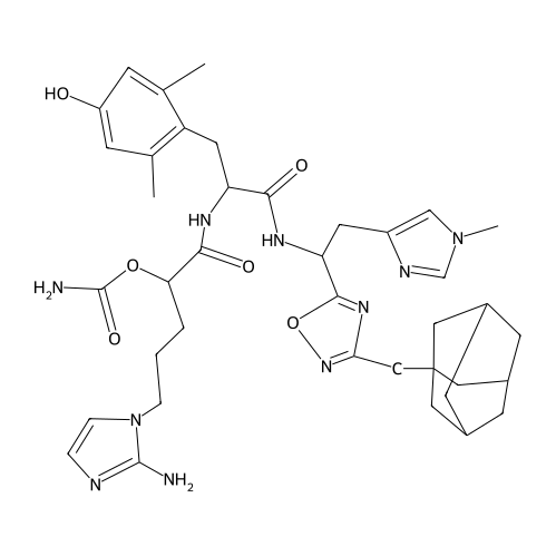 Cc1cc(O)cc(C)c1CC(NC(=O)C(CCCn1ccnc1N)OC(N)=O)C(=O)NC(Cc1cn(C)cn1)c1nc(CC23CC4CC(CC(C4)C2)C3)no1